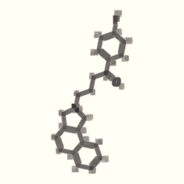 O=C(CCCN1Cc2ccc3ccccc3c2C1)c1ccc(F)cc1